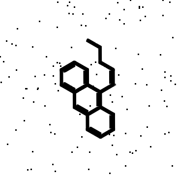 CCC/C=[C]\c1c2ccccc2cc2ccccc12